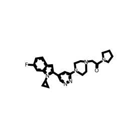 O=C(CN1CCN(c2cc(-c3cc4ccc(F)cc4n3C3CC3)cnn2)CC1)N1CCCC1